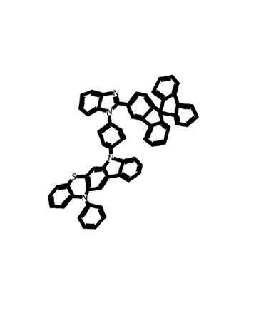 c1ccc(N2c3ccccc3Sc3cc4c(cc32)c2ccccc2n4-c2ccc(-n3c(-c4ccc5c(c4)-c4ccccc4C54c5ccccc5-c5ccccc54)nc4ccccc43)cc2)cc1